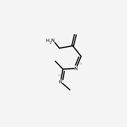 C=C(/C=N\C(C)=N/C)CN